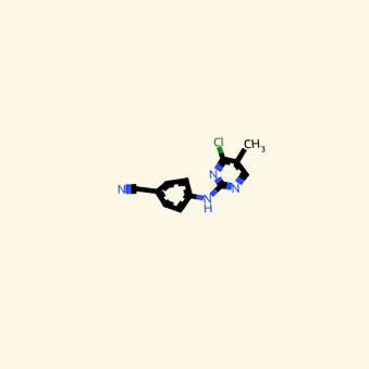 Cc1cnc(Nc2ccc(C#N)cc2)nc1Cl